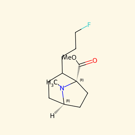 COC(=O)[C@@]12CC[C@@H](CCC1CCCF)N2C